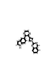 c1ccc2nc(N3CC(c4nccnc4-c4ccc5[nH]ccc5c4)C3)ncc2c1